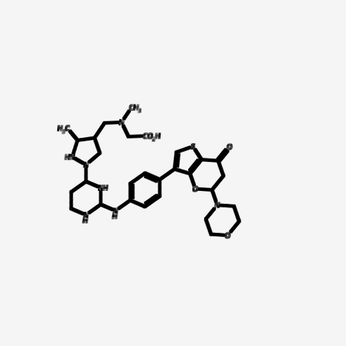 CC1NN(C2CCNC(Nc3ccc(-c4csc5c4OC(N4CCOCC4)CC5=O)cc3)N2)CC1CN(C)CC(=O)O